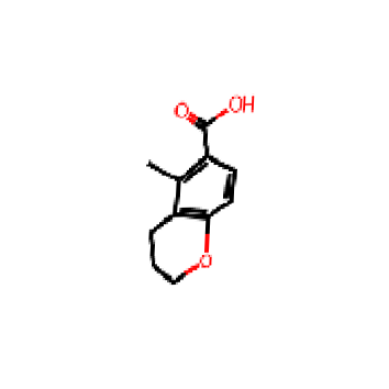 Cc1c(C(=O)O)ccc2c1CCCO2